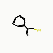 C=C(CS)c1ccccc1